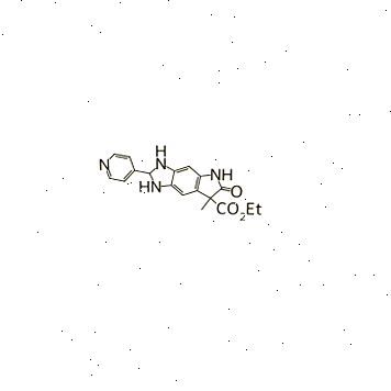 CCOC(=O)C1(C)C(=O)Nc2cc3c(cc21)NC(c1ccncc1)N3